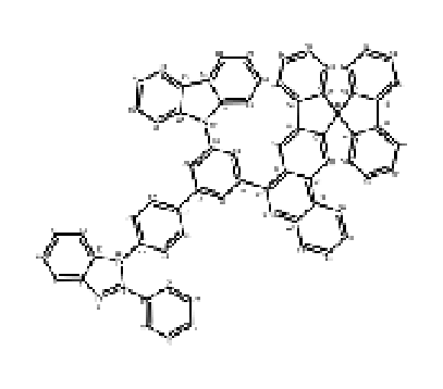 c1ccc(-c2nc3ccccc3n2-c2ccc(-c3cc(-c4nc5ccccc5c5cc6c(cc45)-c4ccccc4C64c5ccccc5-c5ccccc54)cc(-n4c5ccccc5c5ccccc54)c3)cc2)cc1